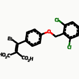 CCC(=C(C(=O)O)C(=O)O)c1ccc(OCc2c(Cl)cccc2Cl)cc1